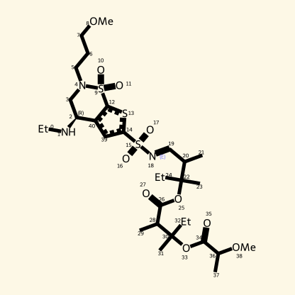 CCN[C@H]1CN(CCCOC)S(=O)(=O)c2sc(S(=O)(=O)/N=C/C(C)C(C)(CC)OC(=O)C(C)C(C)(CC)OC(=O)C(C)OC)cc21